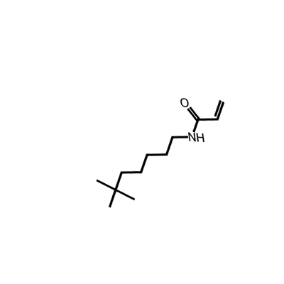 C=CC(=O)NCCCCCC(C)(C)C